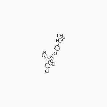 Cc1nc(-c2ccc(OCC3COC(Cn4ccnc4)(c4ccc(Cl)cc4Cl)O3)cc2)cs1